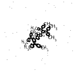 Cc1ccc(N(c2ccc(C)cc2)c2cc(-c3ccc4c(c3)C(C)(C)c3cc(-c5cc(N(c6ccc(C)cc6)c6ccc(C)cc6)cc(N(c6ccc(C)cc6)c6ccc(C)cc6)c5)ccc3-4)cc(N(c3ccc(C)cc3)c3ccc(C)cc3)c2)cc1